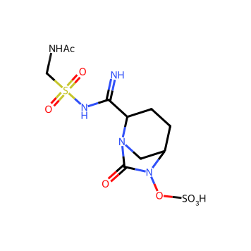 CC(=O)NCS(=O)(=O)NC(=N)C1CCC2CN1C(=O)N2OS(=O)(=O)O